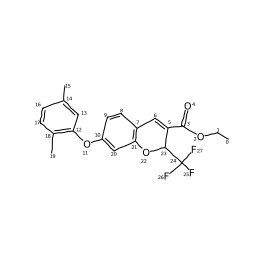 CCOC(=O)C1=Cc2ccc(Oc3cc(C)ccc3C)cc2OC1C(F)(F)F